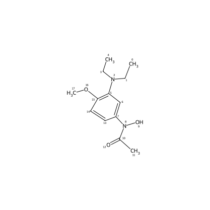 CCN(CC)c1cc(N(O)C(C)=O)ccc1OC